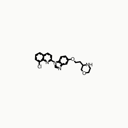 Clc1cccc2ccc(-n3cnc4cc(OCCC5COCCN5)ccc43)nc12